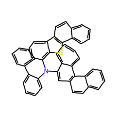 c1ccc(-c2ccccc2N(c2cc3ccc4ccccc4c3c3ccccc23)c2cccc3c2sc2c4ccccc4ccc32)cc1